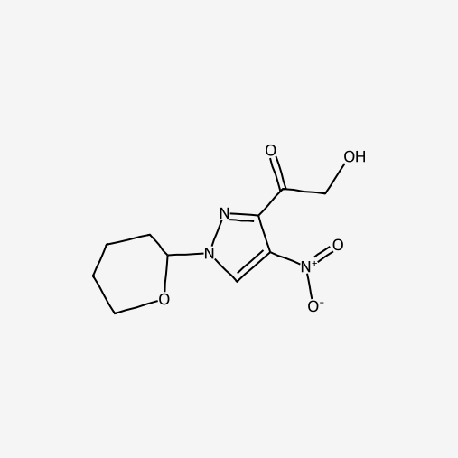 O=C(CO)c1nn(C2CCCCO2)cc1[N+](=O)[O-]